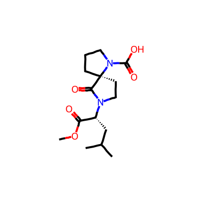 COC(=O)[C@@H](CC(C)C)N1CC[C@@]2(CCCN2C(=O)O)C1=O